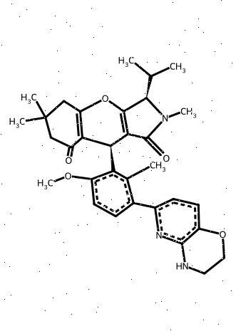 COc1ccc(-c2ccc3c(n2)NCCO3)c(C)c1[C@H]1C2=C(CC(C)(C)CC2=O)OC2=C1C(=O)N(C)[C@@H]2C(C)C